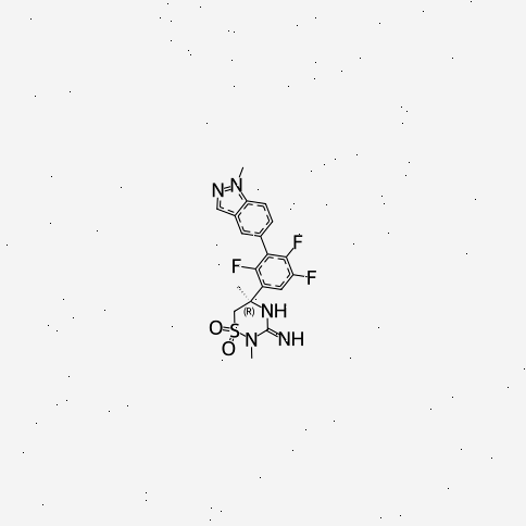 CN1C(=N)N[C@](C)(c2cc(F)c(F)c(-c3ccc4c(cnn4C)c3)c2F)CS1(=O)=O